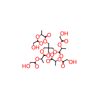 CC(OC(=O)CO)C(=O)OCC(COC(=O)C(C)OC(=O)CO)(COC(=O)C(C)OC(=O)CO)COC(=O)C(C)OC(=O)CO